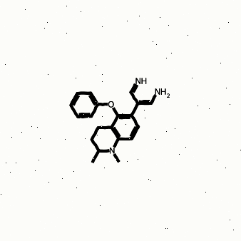 CC1CCc2c(ccc(/C(C=N)=C/N)c2Oc2ccccc2)N1C